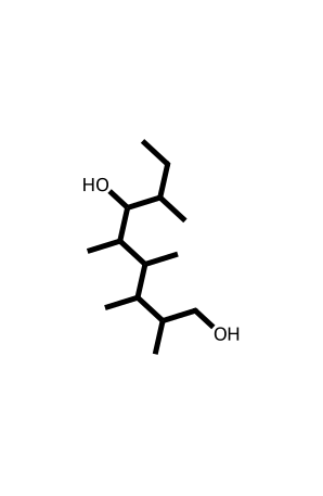 CCC(C)C(O)C(C)C(C)C(C)C(C)CO